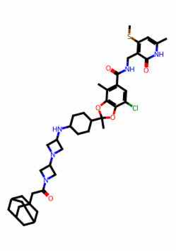 CSc1cc(C)[nH]c(=O)c1CNC(=O)c1cc(Cl)c2c(c1C)OC(C)(C1CCC(NC3CN(C4CN(C(=O)CC56CC7CC(CC(C7)C5)C6)C4)C3)CC1)O2